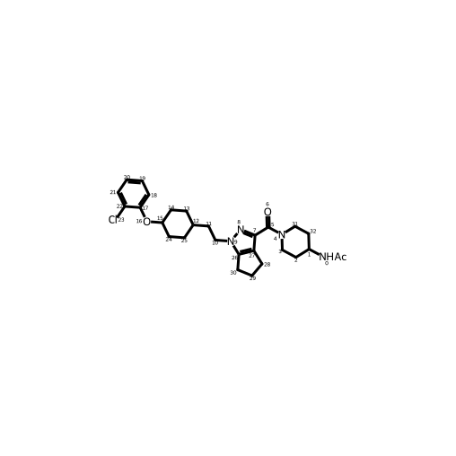 CC(=O)NC1CCN(C(=O)c2nn(CCC3CCC(Oc4ccccc4Cl)CC3)c3c2CCC3)CC1